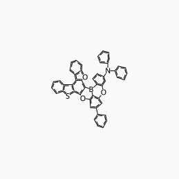 c1ccc(-c2cc3c4c(c2)Oc2c(c5oc6ccccc6c5c5c2sc2ccccc25)B4c2ccc(N(c4ccccc4)c4ccccc4)cc2O3)cc1